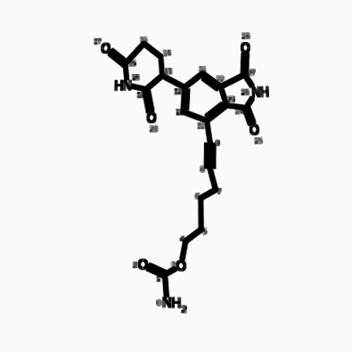 NC(=O)OCCCCC#Cc1cc(C2CCC(=O)NC2=O)cc2c1C(=O)NC2=O